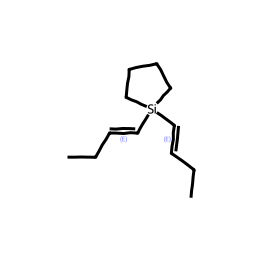 CC/C=C/[Si]1(/C=C/CC)CCCC1